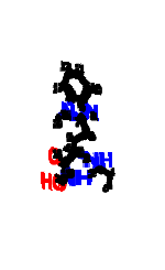 CCCN[C@@H](CCc1nc2ccccc2n1C)C(=O)NO